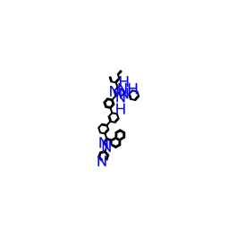 C=C/C=C(\C=C)C(=N)/N=C(\NNC1=CC=CCC1)c1cccc(C2C=C(C3=CCCC(c4nn(-c5ccncc5)c5ccc6ccccc6c45)=C3)C=CC2)c1